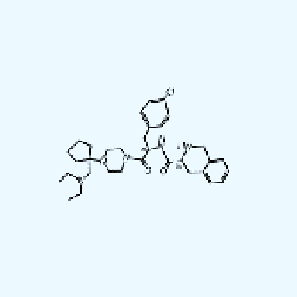 CCN(CC)CC1(N2CCN(C(=O)[C@@H](Cc3ccc(Cl)cc3)NC(=O)[C@H]3Cc4ccccc4CN3)CC2)CCCC1